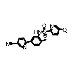 COc1ccc(S(=O)(=O)Nc2cc(-c3ccc(C#N)cn3)ccc2C)nc1